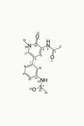 CC(=O)Nc1cc(-c2cccc(N[S+](C)[O-])c2)cn(C)c1=O